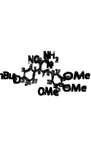 CCCCOc1ccc(-c2cc(-c3cc(OC)c(OC)c(OC)c3)nc(N)c2C#N)cc1